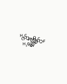 Cc1cc(CNC(=O)c2cc(Cn3ccn(C)c3=N)cc(-c3ccc(F)cc3C)n2)ccc1Cl